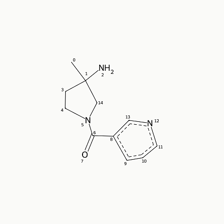 CC1(N)CCN(C(=O)c2cccnc2)C1